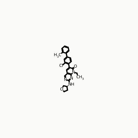 CCn1c(=O)c(-c2ccc(-c3ccccc3C)cc2Cl)cc2cnc(N[C@@H]3CCOC3)nc21